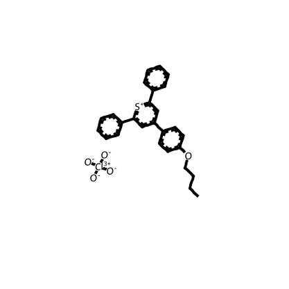 CCCCOc1ccc(-c2cc(-c3ccccc3)[s+]c(-c3ccccc3)c2)cc1.[O-][Cl+3]([O-])([O-])[O-]